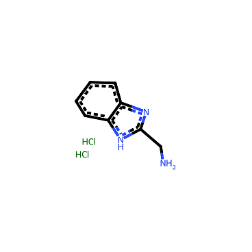 Cl.Cl.NCc1nc2ccccc2[nH]1